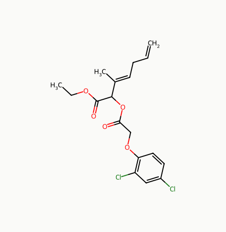 C=CCC=C(C)C(OC(=O)COc1ccc(Cl)cc1Cl)C(=O)OCC